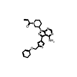 C=CC(=O)N1CCCC(n2nc(-c3csc(COC4=CC=CCC4)c3)c3c(N)ncnc32)C1